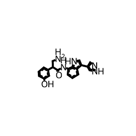 NCC(C(=O)Nc1cccc2c(-c3cn[nH]c3)c[nH]c12)c1cccc(O)c1